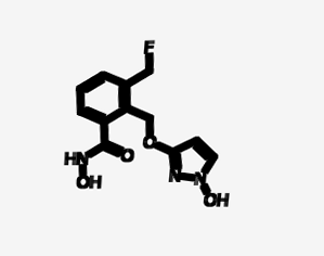 O=C(NO)c1cccc(CF)c1COc1ccn(O)n1